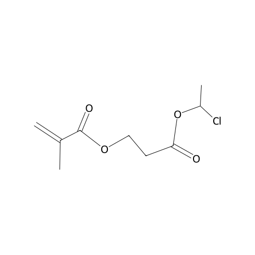 C=C(C)C(=O)OCCC(=O)OC(C)Cl